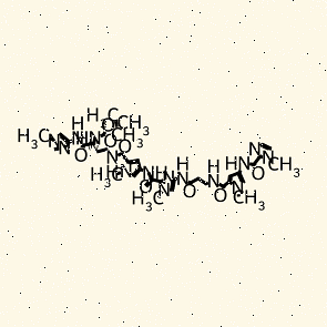 Cn1cnc(NC(=O)[C@@H](CCNC(=O)c2cc(NC(=O)c3nc(NC(=O)CCNC(=O)c4cc(NC(=O)c5nccn5C)cn4C)cn3C)cn2C)NC(=O)OC(C)(C)C)c1